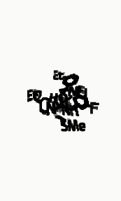 CCOCC1CCN([C@@H](CCSC)C(=O)N[C@@H](Cc2cc(F)cc(F)c2)[C@H](O)CNC2(c3cccc(CC)c3)CC2)CC1